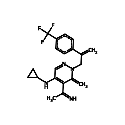 C=C(CN1N=CC(NC2CC2)=C(C(C)=N)C1=C)c1ccc(C(F)(F)F)cc1